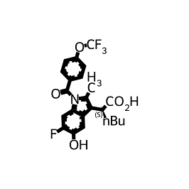 CCCC[C@H](C(=O)O)c1c(C)n(C(=O)c2ccc(OC(F)(F)F)cc2)c2cc(F)c(O)cc12